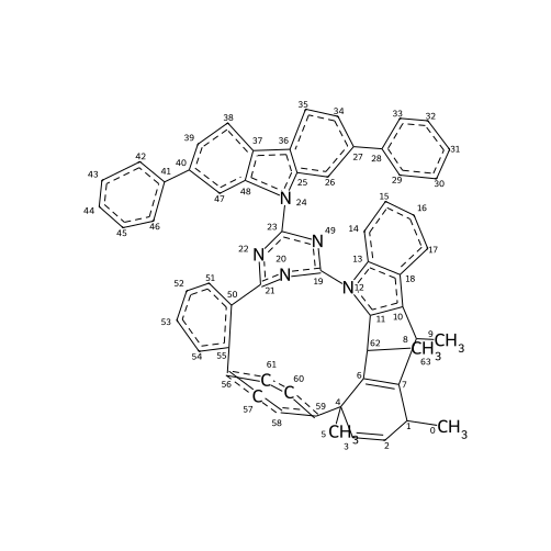 CC1C=CC2(C)C3=C1C(C)c1c(n(c4ccccc14)-c1nc(nc(-n4c5cc(-c6ccccc6)ccc5c5ccc(-c6ccccc6)cc54)n1)-c1ccccc1-c1ccc2cc1)C3C